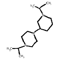 CC(C)N1CCN(C2CCCN(C(C)C)C2)CC1